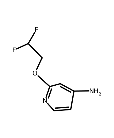 Nc1ccnc(OCC(F)F)c1